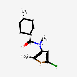 CCOC(=O)c1sc(Br)cc1N(C)C(=O)[C@H]1CC[C@H](C)CC1